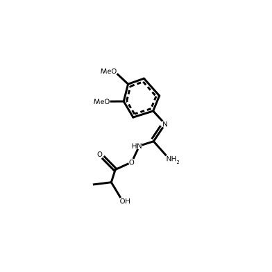 COc1ccc(N=C(N)NOC(=O)C(C)O)cc1OC